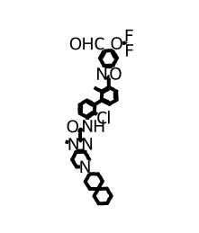 Cc1c(-c2nc3cc(C=O)c(OC(F)F)cc3o2)cccc1-c1cccc(NC(=O)c2nc3c(n2C)CCN(C2CCC4(CCCCC4)CC2)C3)c1Cl